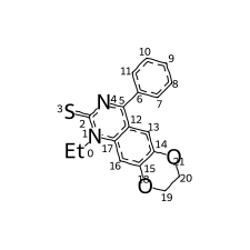 CCn1c(=S)nc(-c2ccccc2)c2cc3c(cc21)OCCO3